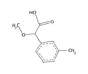 COC(C(=O)O)c1[c]c(C)ccc1